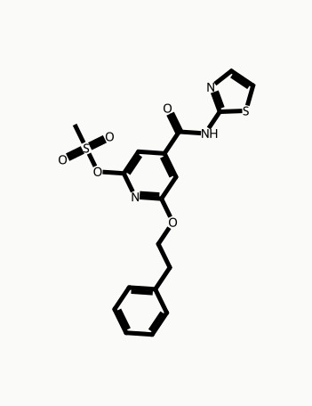 CS(=O)(=O)Oc1cc(C(=O)Nc2nccs2)cc(OCCc2ccccc2)n1